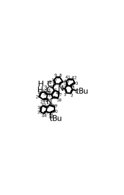 CC(C)(C)c1ccc(N2c3ccccc3C(C)(C)c3c2ccc2c3c3ccccc3n2-c2ccc(C(C)(C)C)c3ccccc23)c2ccccc12